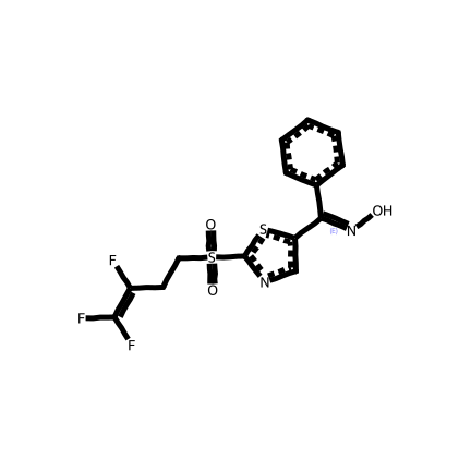 O=S(=O)(CCC(F)=C(F)F)c1ncc(/C(=N/O)c2ccccc2)s1